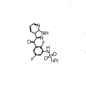 CCCS(=O)(=O)Nc1cc(F)cc(C(=O)C2=NNC3N=CC=CC23)c1F